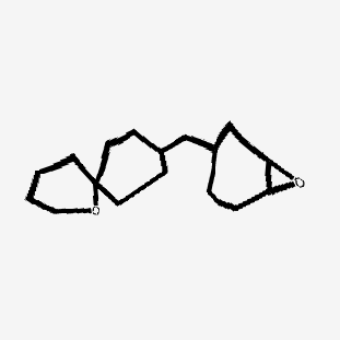 C1CCC2(CCC(CC3CCC4OC4C3)CC2)OC1